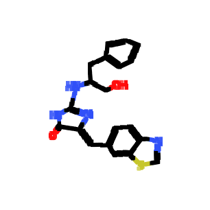 O=C1NC(NC(CO)Cc2ccccc2)=N/C1=C\c1ccc2ncsc2c1